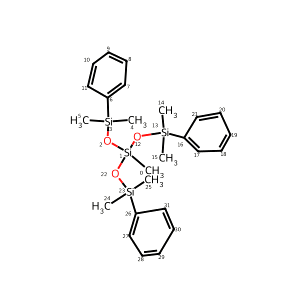 C[Si](O[Si](C)(C)c1ccccc1)(O[Si](C)(C)c1ccccc1)O[Si](C)(C)c1ccccc1